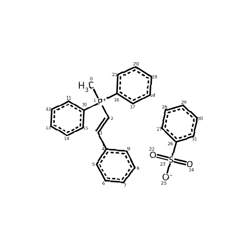 C[P+](C=Cc1ccccc1)(c1ccccc1)c1ccccc1.O=S(=O)([O-])c1ccccc1